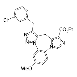 CCOC(=O)c1ncn2c1Cc1c(Cc3cccc(Cl)c3)nnn1-c1cc(OC)ccc1-2